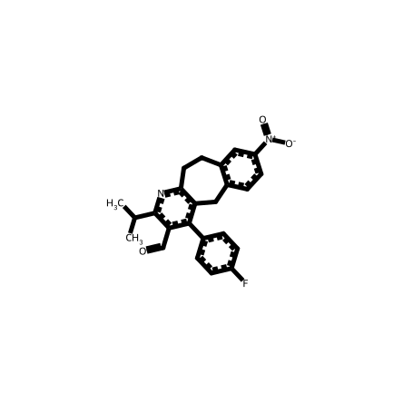 CC(C)c1nc2c(c(-c3ccc(F)cc3)c1C=O)Cc1ccc([N+](=O)[O-])cc1CC2